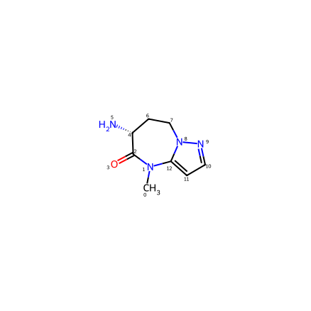 CN1C(=O)[C@H](N)CCn2nccc21